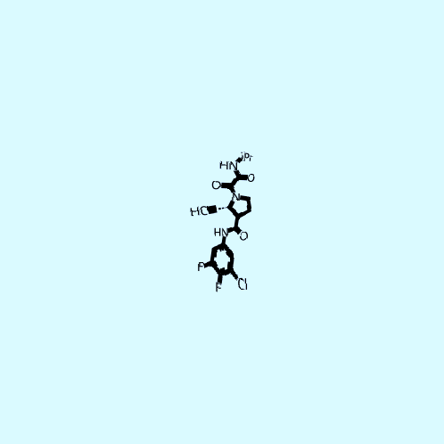 C#C[C@H]1C(C(=O)Nc2cc(F)c(F)c(Cl)c2)CCN1C(=O)C(=O)NC(C)C